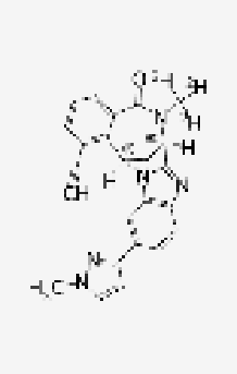 [2H]C([2H])([2H])N1C(=O)c2cccc(C#C)c2[C@H]2C[C@@H]1c1nc3ccc(-c4ccn(C)n4)cc3n12